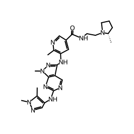 Cc1ncc(C(=O)NCCN2CCC[C@@H]2C)cc1Nc1nn(C)c2nc(Nc3cnn(C)c3C)ncc12